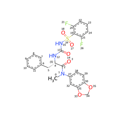 CN(C(=O)[C@H](Cc1ccccc1)NC(=O)NS(=O)(=O)c1c(F)cccc1F)c1ccc2c(c1)OCO2